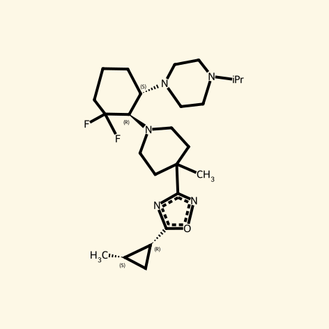 CC(C)N1CCN([C@H]2CCCC(F)(F)[C@@H]2N2CCC(C)(c3noc([C@@H]4C[C@@H]4C)n3)CC2)CC1